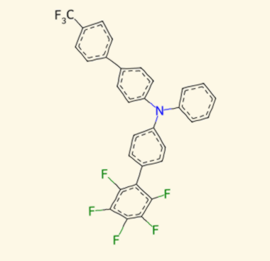 Fc1c(F)c(F)c(-c2ccc(N(c3ccccc3)c3ccc(-c4ccc(C(F)(F)F)cc4)cc3)cc2)c(F)c1F